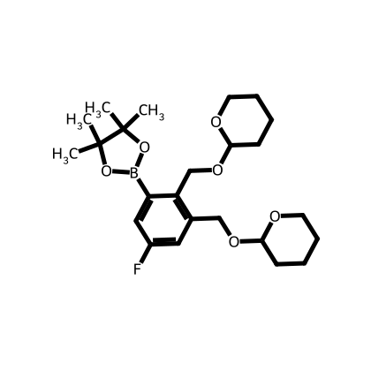 CC1(C)OB(c2cc(F)cc(COC3CCCCO3)c2COC2CCCCO2)OC1(C)C